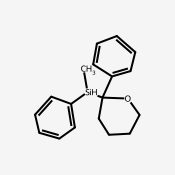 C[SiH](c1ccccc1)C1(c2ccccc2)CCCCO1